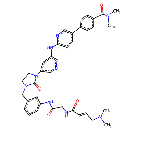 CN(C)C/C=C/C(=O)NCC(=O)Nc1cccc(CN2CCN(c3cncc(Nc4ccc(-c5ccc(C(=O)N(C)C)cc5)cn4)c3)C2=O)c1